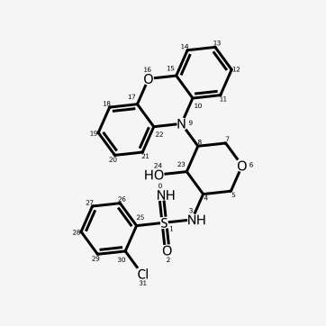 N=S(=O)(NC1COCC(N2c3ccccc3Oc3ccccc32)C1O)c1ccccc1Cl